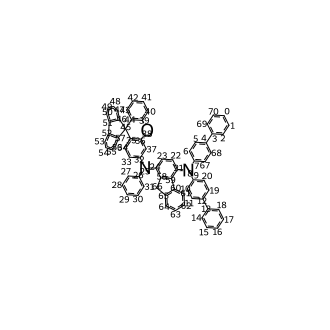 c1ccc(-c2ccc(N(c3ccc(-c4ccccc4)cc3)c3ccc(N(c4ccccc4)c4ccc5c(c4)Oc4ccccc4C54c5ccccc5-c5ccccc54)c4c3-c3ccccc3C4)cc2)cc1